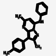 Cc1ccc(-c2c(C)nn3c(Nc4ccccc4)cc(C)nc23)cc1